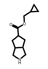 O=C(OCC1CC1)C1CC2CNCC2C1